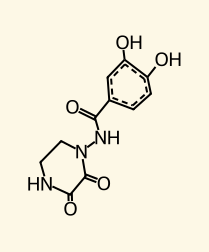 O=C1NCCN(NC(=O)c2ccc(O)c(O)c2)C1=O